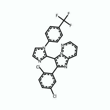 FC(F)(F)c1ccc(-n2ccnc2-c2c(-c3cc(Cl)ccc3Cl)nc3cccnn23)cc1